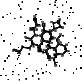 C=CCCN(/C(=N/C)c1cc(Cl)c(C2COC2)nc1N(C=O)C1C(CC)=CC=CC1CC)C(C)CNC=O